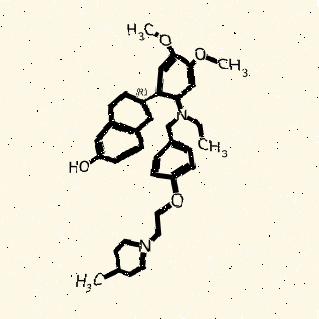 CCN(Cc1ccc(OCCN2CCC(C)CC2)cc1)C1C=C(OC)C(OC)=CC1[C@@H]1CCc2cc(O)ccc2C1